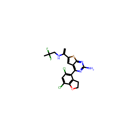 C=C(NCC(C)(F)F)c1cc2c(-c3c(Cl)cc(Cl)c4c3CCO4)nc(N)nc2s1